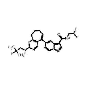 CC(C)(F)CNc1ncc2c(n1)CCCC=C2c1ccn2ncc(C(=O)NCC(F)F)c2c1